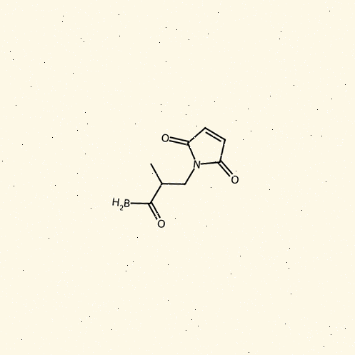 BC(=O)C(C)CN1C(=O)C=CC1=O